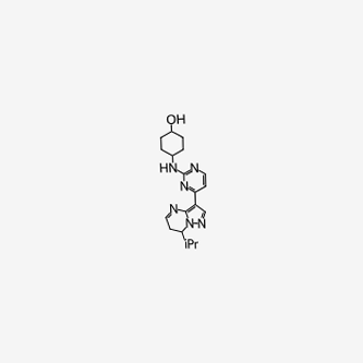 CC(C)C1CC=Nc2c(-c3ccnc(NC4CCC(O)CC4)n3)cnn21